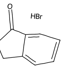 Br.O=C1CCc2ccccc21